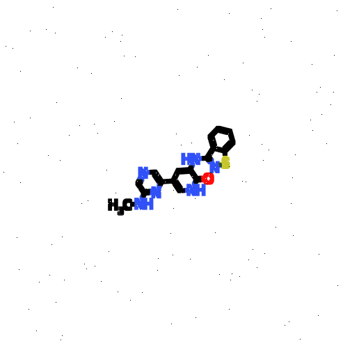 CNc1cncc(-c2c[nH]c(=O)c(Nc3nsc4ccccc34)c2)n1